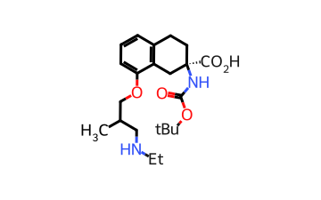 CCNCC(C)COc1cccc2c1C[C@@](NC(=O)OC(C)(C)C)(C(=O)O)CC2